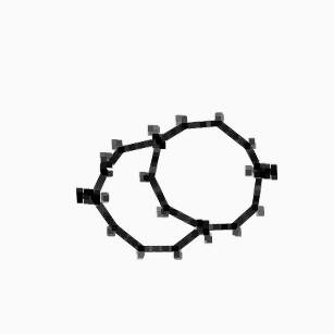 C1CNCCN2CCCNCCN(C1)CC2